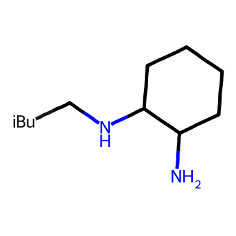 CCC(C)CNC1CCCCC1N